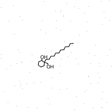 CCCCCCCCCCCCC1(CO)CCCCC1O